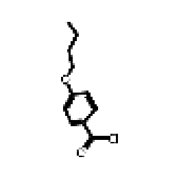 CCCCOc1ccc(C(=O)Cl)cc1